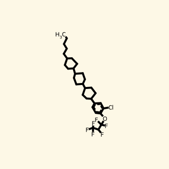 CCCCCC1CCC(C2CCC(C3CCC(c4ccc(OC(F)(F)C(F)C(F)(F)F)c(Cl)c4)CC3)CC2)CC1